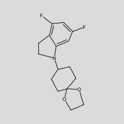 Fc1cc(F)c2c(c1)N(C1CCC3(CC1)OCCO3)CC2